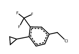 FC(F)(F)c1cc(CCl)ccc1C1CC1